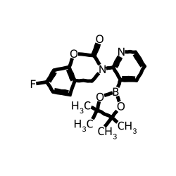 CC1(C)OB(c2cccnc2N2Cc3ccc(F)cc3OC2=O)OC1(C)C